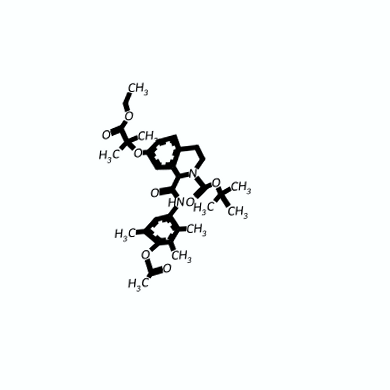 CCOC(=O)C(C)(C)Oc1ccc2c(c1)C(C(=O)Nc1cc(C)c(OC(C)=O)c(C)c1C)N(C(=O)OC(C)(C)C)CC2